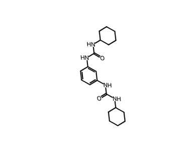 O=C(Nc1cccc(NC(=O)NC2CCCCC2)c1)NC1CCCCC1